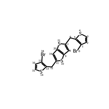 Brc1ccsc1Cc1cc2sc(Cc3sccc3Br)cc2s1